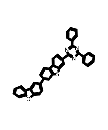 c1ccc(-c2nc(-c3ccccc3)nc(-c3ccc4c(c3)sc3cc(-c5ccc6oc7ccccc7c6c5)ccc34)n2)cc1